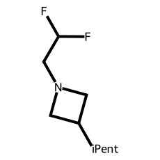 CCCC(C)C1CN(CC(F)F)C1